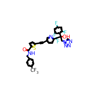 O=C(NCc1ccc(C(F)(F)F)cc1)c1ccc(C#Cc2ccc(C(F)(F)C(O)(Cn3cnnn3)c3ccc(F)cc3F)nc2)s1